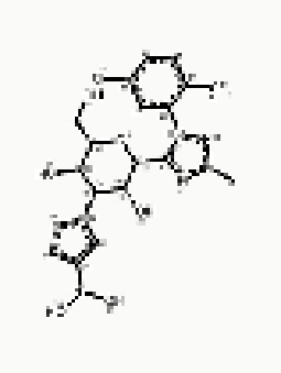 Cc1nc([C@@H]2O[C@H](CO)[C@H](O)[C@H](n3cc(B(O)O)cn3)[C@H]2O)n(-c2cc(Cl)ccc2C(F)(F)F)n1